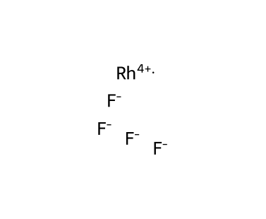 [F-].[F-].[F-].[F-].[Rh+4]